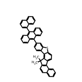 CC1(C)c2ccc3ccccc3c2-c2ccc3sc4cc(-c5c6ccccc6c(-c6cccc7ccccc67)c6ccccc56)ccc4c3c21